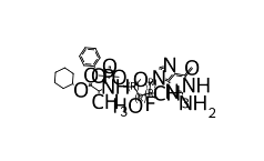 CC(NP(=O)(OC[C@H]1O[C@@H](n2cnc3c(=O)[nH]c(N)nc32)[C@](C)(F)[C@@H]1O)Oc1ccccc1)C(=O)OC1CCCCC1